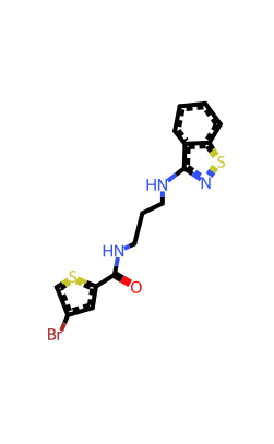 O=C(NCCCNc1nsc2ccccc12)c1cc(Br)cs1